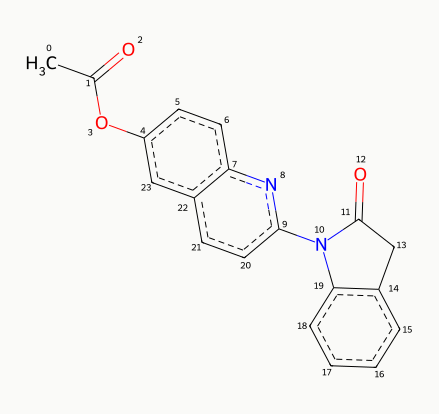 CC(=O)Oc1ccc2nc(N3C(=O)Cc4ccccc43)ccc2c1